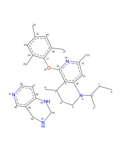 CCC(C)N1CCC(C)c2c1cc(C)nc2Oc1c(C)cc(C)cc1C.c1cc2c(cn1)CNCN2